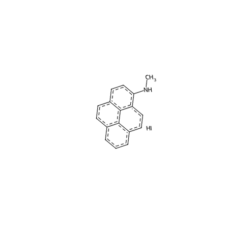 CNc1ccc2ccc3cccc4ccc1c2c34.I